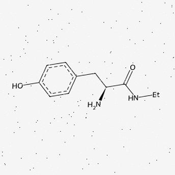 CCNC(=O)[C@@H](N)Cc1ccc(O)cc1